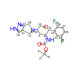 CC(C)(C)OC(=O)N[C@H]1C[C@@H](N2Cc3c[nH]nc3C2)COC1c1cc(F)ccc1F